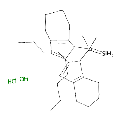 CCCCC1=CC2=C(CCCC2)[CH]1[Zr]([CH3])([CH3])(=[SiH2])[CH]1C(CCCC)=CC2=C1CCCC2.Cl.Cl